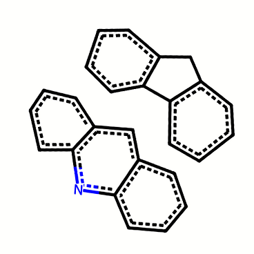 c1ccc2c(c1)Cc1ccccc1-2.c1ccc2nc3ccccc3cc2c1